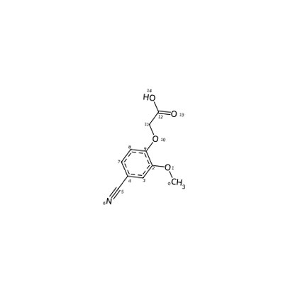 COc1cc(C#N)ccc1OCC(=O)O